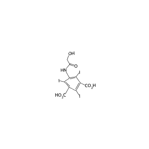 O=C(CO)Nc1c(I)c(C(=O)O)c(I)c(C(=O)O)c1I